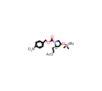 CC(=O)OCC[C@@H]1C[C@@H](O[Si](C)(C)C(C)(C)C)CN1C(=O)OCc1ccc([N+](=O)[O-])cc1